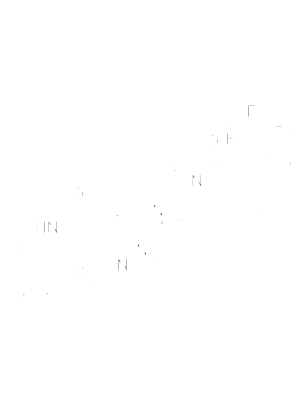 O=C1Nc2ccccc2Oc2nnc(N3CCN(C(=O)c4ccccc4C(F)(F)F)CC3)cc21